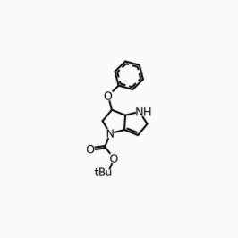 CC(C)(C)OC(=O)N1CC(Oc2ccccc2)C2NCC=C21